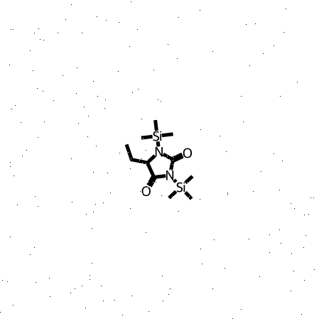 CCC1C(=O)N([Si](C)(C)C)C(=O)N1[Si](C)(C)C